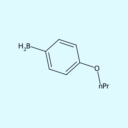 Bc1ccc(OCCC)cc1